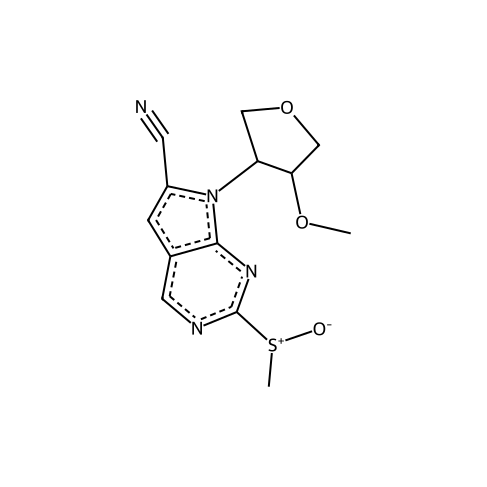 COC1COCC1n1c(C#N)cc2cnc([S+](C)[O-])nc21